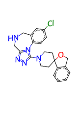 Clc1ccc2c(c1)CNCc1nnc(N3CCC4(CC3)OCc3ccccc34)n1-2